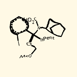 CCCCCC(OCOC)(c1ccccc1I)N(C(=O)O)C1CC2CCC1C2